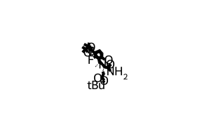 C[C@@H]1c2c(ccc(B3OC(C)(C)C(C)(C)O3)c2F)C(=O)N1[C@@H](CCC(=O)OC(C)(C)C)C(N)=O